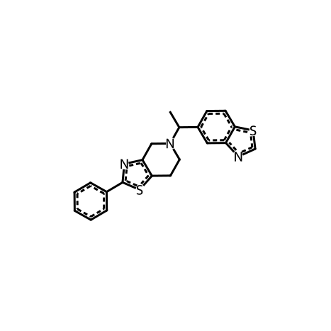 CC(c1ccc2scnc2c1)N1CCc2sc(-c3ccccc3)nc2C1